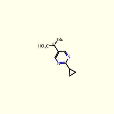 CC(C)(C)[C@H](C(=O)O)c1cnc(C2CC2)nc1